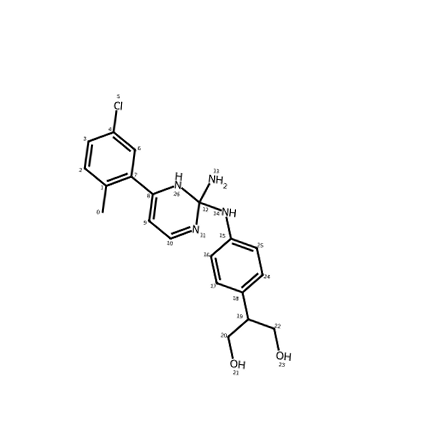 Cc1ccc(Cl)cc1C1=CC=NC(N)(Nc2ccc(C(CO)CO)cc2)N1